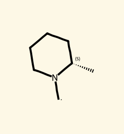 [CH2]N1CCCC[C@@H]1C